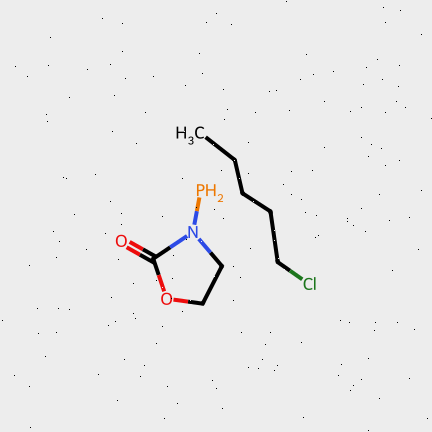 CCCCCCl.O=C1OCCN1P